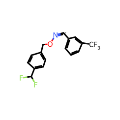 FC(F)c1ccc(CO/N=[C]\c2cccc(C(F)(F)F)c2)cc1